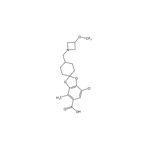 COC1CN(CC2CCC3(CC2)Oc2c(Cl)cc(C(=O)O)c(C)c2O3)C1